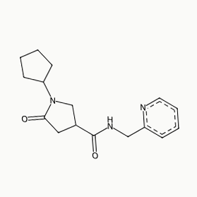 O=C(NCc1ccccn1)C1CC(=O)N(C2CCCC2)C1